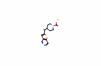 CC(C)(C)OC(=O)N1CCC(C(SC=O)c2cc3cnccc3o2)CC1